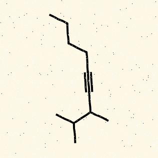 CCCCC#CC(C)C(C)C